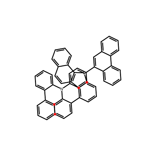 c1ccc(-c2ccccc2N(c2ccc(-c3cc4ccccc4c4ccccc34)cc2)c2ccccc2-c2cccc3oc4c5ccccc5ccc4c23)cc1